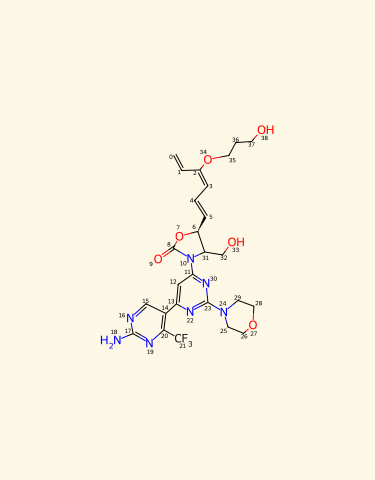 C=C/C(=C\C=C\[C@@H]1OC(=O)N(c2cc(-c3cnc(N)nc3C(F)(F)F)nc(N3CCOCC3)n2)C1CO)OCCCO